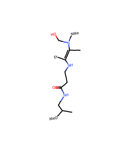 CC/C(NCCC(=O)NCC(C)OC)=C(/C)N(CO)NC